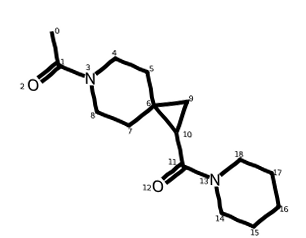 CC(=O)N1CCC2(CC1)CC2C(=O)N1CCCCC1